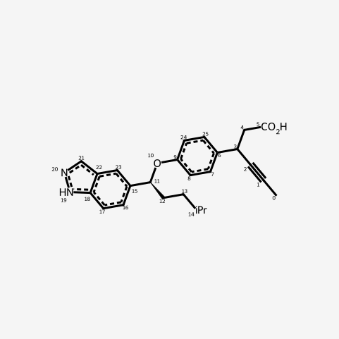 CC#CC(CC(=O)O)c1ccc(O[C@@H](CCC(C)C)c2ccc3[nH]ncc3c2)cc1